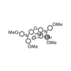 COc1ccc(N(c2ccc(OC)cc2)c2ccc3c(c2)C2(c4cc(N(c5ccc(OC)cc5)c5ccc(OC)cc5)ccc4O3)c3ccccc3-c3cc(C(C)(C)C)nn32)cc1